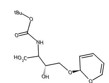 CC(C)(C)OC(=O)NC(C(=O)O)[C@@H](O)CO[C@H]1C=CC=CO1